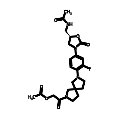 CC(=O)NC[C@H]1CN(c2ccc(N3CCC4(CCN(C(=O)COC(C)=O)C4)C3)c(F)c2)C(=O)O1